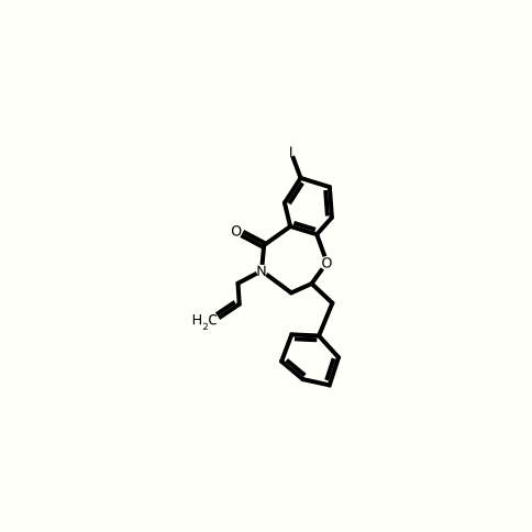 C=CCN1CC(Cc2ccccc2)Oc2ccc(I)cc2C1=O